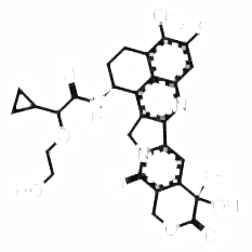 CC[C@@]1(O)C(=O)OCc2c1cc1n(c2=O)Cc2c-1nc1cc(F)c(C)c3c1c2[C@@H](NC(=O)C(OCCO)C1CC1)CC3